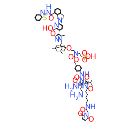 Cc1c(-c2ccc(N3CCc4cccc(C(=O)Nc5nc6ccccc6s5)c4C3)nc2C(=O)O)cnn1CC12CC3(C)CC(C)(C1)CC(OCCN(CCS(=O)(=O)O)C(=O)OCc1ccc(NC(=O)N(C(=O)[C@@H](NC(=O)CCCCCNC(=O)CN4C(=O)C=CC4=O)C(C)C)[C@@H](CCCN)C(N)=O)cc1)(C3)C2